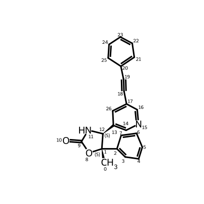 C[C@@]1(c2ccccc2)OC(=O)N[C@H]1c1cncc(C#Cc2ccccc2)c1